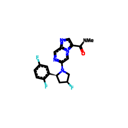 CNC(=O)c1cnc2cnc(N3C[C@@H](F)C[C@@H]3c3cc(F)ccc3F)cn12